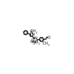 C=C(/N=C(\ON)c1cc(-c2ccccc2)n(C)n1)c1ccc(CC=O)c(C)c1